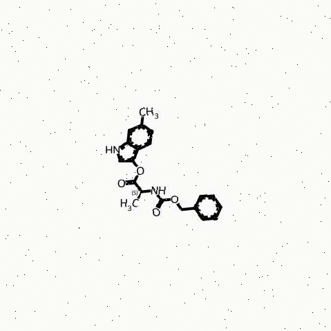 Cc1ccc2c(OC(=O)[C@H](C)NC(=O)OCc3ccccc3)c[nH]c2c1